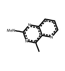 CNc1nc(C)c2ncccc2n1